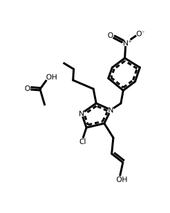 CC(=O)O.CCCCc1nc(Cl)c(CC=CO)n1Cc1ccc([N+](=O)[O-])cc1